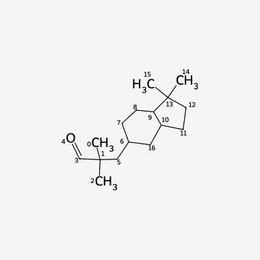 CC(C)(C=O)CC1CCC2C(CCC2(C)C)C1